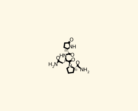 NC(=O)C[C@H](NC(=O)[C@@H]1CCC(=O)N1)C(=O)N1CCC[C@H]1C(N)=O